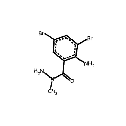 CN(N)C(=O)c1cc(Br)cc(Br)c1N